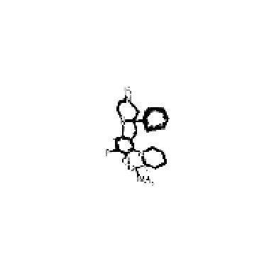 NC(=O)[C@@H]1CCCCN1c1c(Cl)c(F)cc2c1CC1(c3ccccc3)CNCCN21